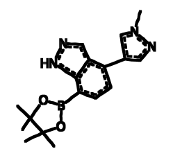 Cn1cc(-c2ccc(B3OC(C)(C)C(C)(C)O3)c3[nH]ncc23)cn1